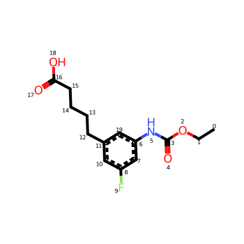 CCOC(=O)Nc1cc(F)cc(CCCCC(=O)O)c1